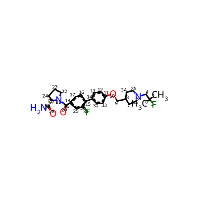 CC(C)(F)CN1CCC(COc2ccc(-c3ccc(C(=O)N4CCC[C@H]4C(N)=O)cc3F)cc2)CC1